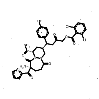 NC(=O)[C@@H]1C[C@@H](C(CC(=O)COC(=O)c2c(Cl)cccc2Cl)c2ccc(O)cc2)CN2C(=O)CC[C@@](N)(C(=O)c3ccco3)C(=O)N12